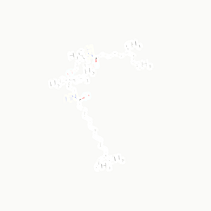 CCCC(C)CCCCC(=O)NC(C)(C)CCOC(C)(C)CCNC(=O)CCCCCCCCCCC(C)CC